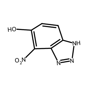 O=[N+]([O-])c1c(O)ccc2[nH]nnc12